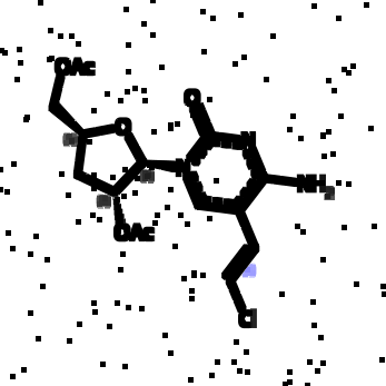 CC(=O)OC[C@@H]1C[C@@H](OC(C)=O)[C@H](n2cc(/C=C/Cl)c(N)nc2=O)O1